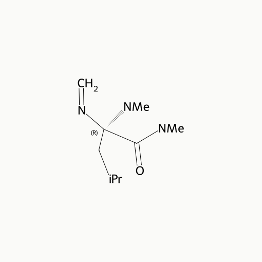 C=N[C@@](CC(C)C)(NC)C(=O)NC